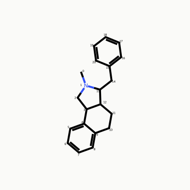 CN1CC2c3ccccc3CCC2C1Cc1ccccc1